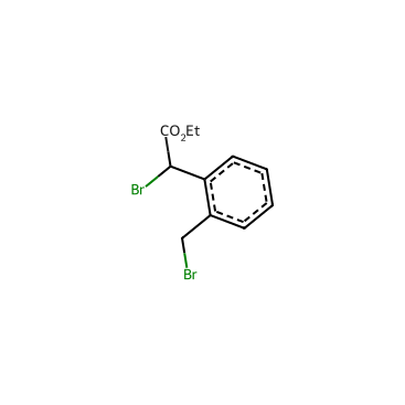 CCOC(=O)C(Br)c1ccccc1CBr